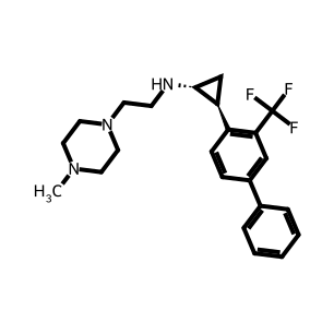 CN1CCN(CCN[C@@H]2C[C@H]2c2ccc(-c3ccccc3)cc2C(F)(F)F)CC1